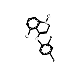 Fc1ccc(OC2=CCN(Cl)c3cccc(Cl)c32)c(F)c1